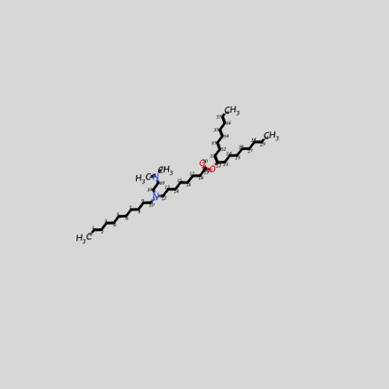 CCCCCCCCCCCN(CCCCCCCC(=O)OC(CCCCCCCC)CCCCCCCC)CCN(C)C